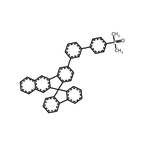 CP(C)(=O)c1ccc(-c2cccc(-c3ccc4c(c3)-c3cc5ccccc5cc3C43c4ccccc4-c4ccccc43)c2)cc1